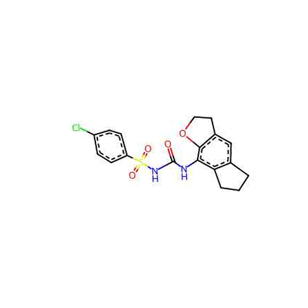 O=C(Nc1c2c(cc3c1OCC3)CCC2)NS(=O)(=O)c1ccc(Cl)cc1